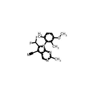 COc1ccc(C)c(-n2c(C(F)F)c(C#N)c3cnc(C)nc32)c1C